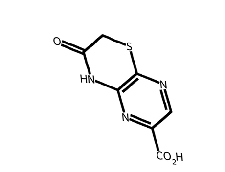 O=C1CSc2ncc(C(=O)O)nc2N1